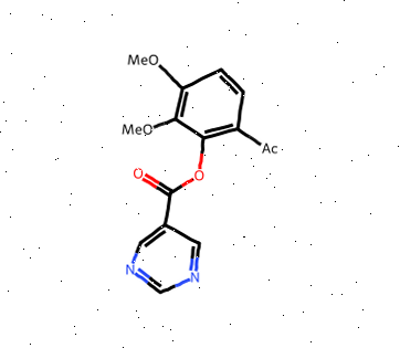 COc1ccc(C(C)=O)c(OC(=O)c2cncnc2)c1OC